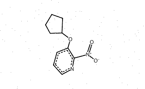 O=[N+]([O-])c1ncccc1OC1CCCC1